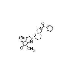 Cn1c(=O)n(CC(C)(C)C)c2ccc(N3CCCC4(CCN(C(=O)c5ccccc5)C4)C3)nc21